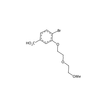 COCCOCCOc1cc(C(=O)O)ccc1Br